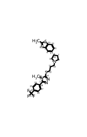 Cc1nc2cc([C@@H]3CCN(CCCSc4nnc(-c5ccc(C(F)(F)F)cc5)n4C)C3)ccc2s1